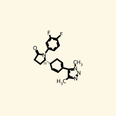 Cc1nnn(C)c1C1=CCC([C@@H]2CCC(=O)N2c2ccc(F)c(F)c2)C=C1